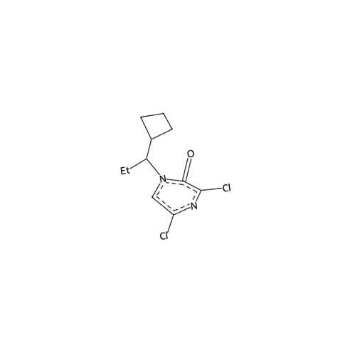 CCC(C1CCC1)n1cc(Cl)nc(Cl)c1=O